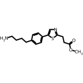 COC(=O)CCc1ncc(-c2ccc(CCCCN)cc2)s1